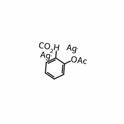 CC(=O)Oc1ccccc1C(=O)O.[Ag].[Ag]